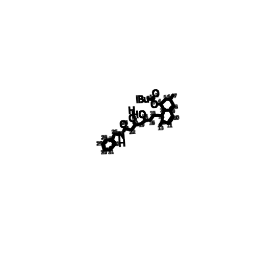 CCC(C)C(=O)OC1CC(C)C=C2C=CC(C)C(CCC(O)CC(O)CC(=O)NCc3ccccc3)C21